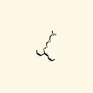 C\C=C/C=C(\C=C/C)SSCOCNC